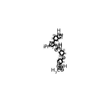 CC(C)n1cc(NC(=O)Nc2ccc(Oc3ccnc(NS(C)(=O)=O)c3)cc2)c(-c2ccc3[nH]ncc3c2)n1